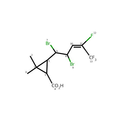 CC1(C)C(C(=O)O)C1C(Br)C(Br)/C=C(/F)C(F)(F)F